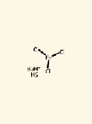 [BaH+].[Cl][Fe]([Cl])[Cl].[SH-]